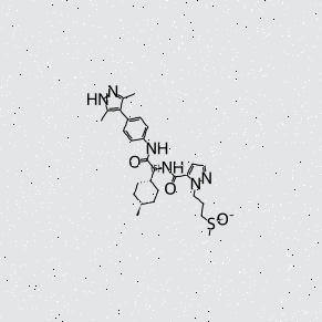 Cc1n[nH]c(C)c1-c1ccc(NC(=O)[C@@H](NC(=O)c2ccnn2CCC[S+](C)[O-])[C@H]2CC[C@H](C)CC2)cc1